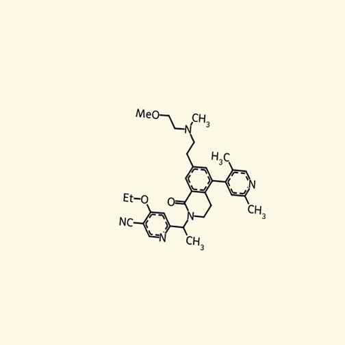 CCOc1cc(C(C)N2CCc3c(cc(CCN(C)CCOC)cc3-c3cc(C)ncc3C)C2=O)ncc1C#N